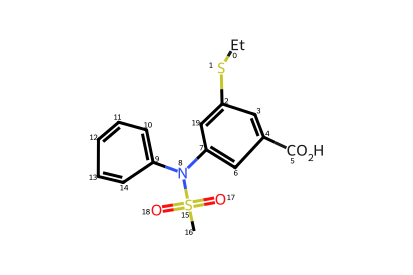 CCSc1cc(C(=O)O)cc(N(c2ccccc2)S(C)(=O)=O)c1